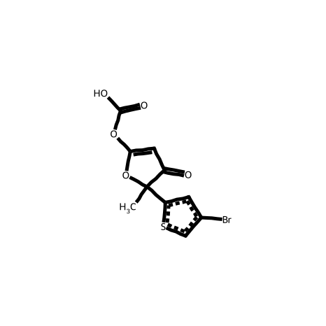 CC1(c2cc(Br)cs2)OC(OC(=O)O)=CC1=O